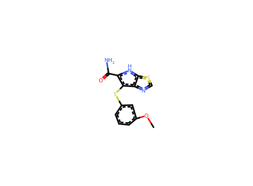 COc1cccc(Sc2c(C(N)=O)[nH]c3scnc23)c1